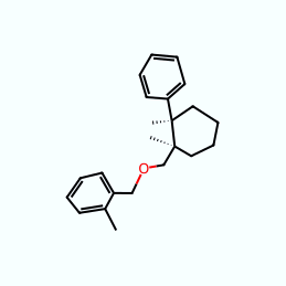 Cc1ccccc1COC[C@]1(C)CCCC[C@]1(C)c1ccccc1